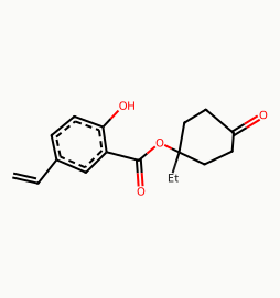 C=Cc1ccc(O)c(C(=O)OC2(CC)CCC(=O)CC2)c1